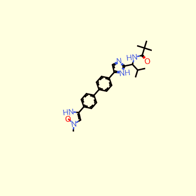 CC(C)C(NC(=O)C(C)(C)C)c1ncc(-c2ccc(-c3ccc(C4=CN(C)ON4)cc3)cc2)[nH]1